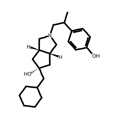 CC(CN1C[C@@H]2C[C@@](O)(CC3CCCCC3)C[C@@H]2C1)c1ccc(O)cc1